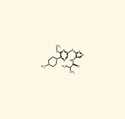 COc1nc(Sc2sncc2NC(=O)C(C)N)cnc1N1CCN(C)CC1